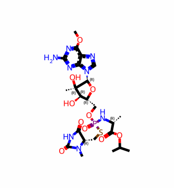 COc1nc(N)nc2c1ncn2[C@@H]1O[C@H](COP(=O)(N[C@H](C)C(=O)OC(C)C)SC[C@H]2C(=O)NC(=O)N2C)[C@@H](O)[C@@]1(C)O